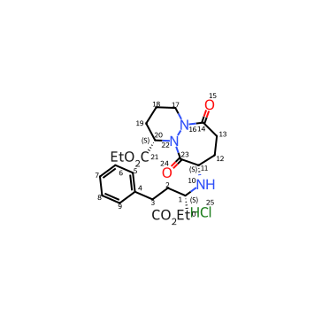 CCOC(=O)[C@H](CCc1ccccc1)N[C@H]1CCC(=O)N2CCC[C@@H](C(=O)OCC)N2C1=O.Cl